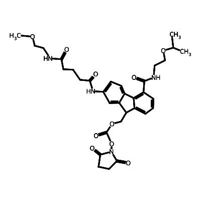 COCCNC(=O)CCCC(=O)Nc1ccc2c(c1)C(COC(=O)ON1C(=O)CCC1=O)c1cccc(C(=O)NCCOC(C)C)c1-2